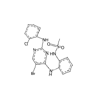 CS(=O)(=O)Nc1ccccc1Nc1nc(Nc2ccccc2Cl)ncc1Br